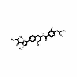 CC(C)Oc1ccc(C(=O)NC(CCO)Cc2ccc(-c3cn(C)c(C(=O)C(C)C)n3)cc2)cc1Cl